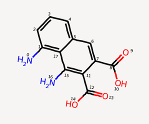 Nc1cccc2cc(C(=O)O)c(C(=O)O)c(N)c12